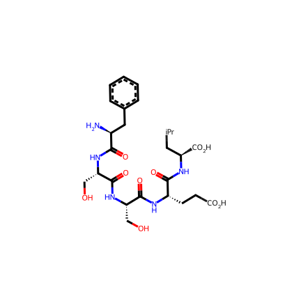 CC(C)C[C@H](NC(=O)[C@H](CCC(=O)O)NC(=O)[C@H](CO)NC(=O)[C@H](CO)NC(=O)[C@@H](N)Cc1ccccc1)C(=O)O